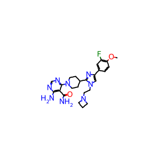 COc1ccc(-c2cn(CCN3CCC3)c(C3CCN(c4ncnc(N)c4C(N)=O)CC3)n2)cc1F